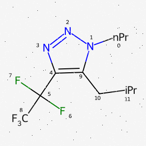 CCCn1nnc(C(F)(F)C(F)(F)F)c1CC(C)C